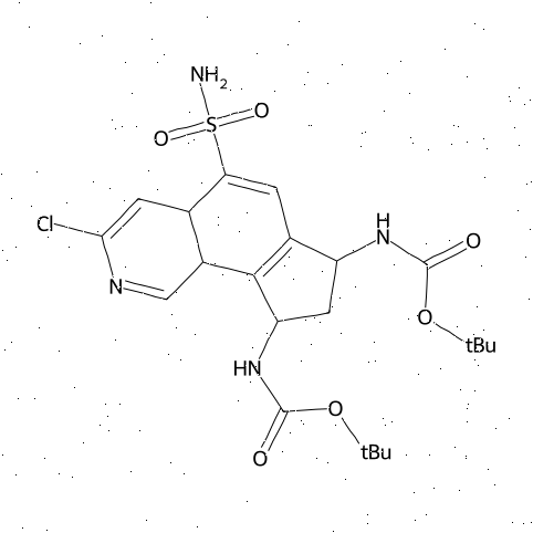 CC(C)(C)OC(=O)NC1CC(NC(=O)OC(C)(C)C)C2=C1C=C(S(N)(=O)=O)C1C=C(Cl)N=CC21